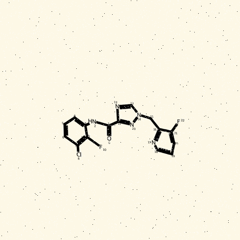 O=C(Nc1cccc(Cl)c1F)c1ncn(Cc2ncccc2F)n1